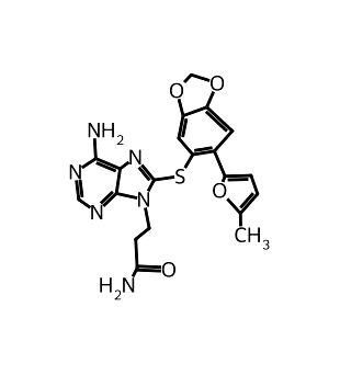 Cc1ccc(-c2cc3c(cc2Sc2nc4c(N)ncnc4n2CCC(N)=O)OCO3)o1